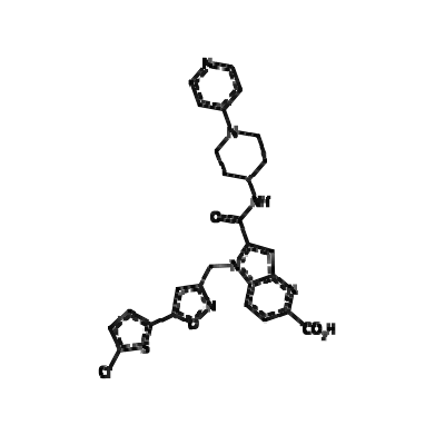 O=C(O)c1ccc2c(cc(C(=O)NC3CCN(c4ccncc4)CC3)n2Cc2cc(-c3ccc(Cl)s3)on2)n1